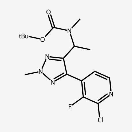 CC(c1nn(C)nc1-c1ccnc(Cl)c1F)N(C)C(=O)OC(C)(C)C